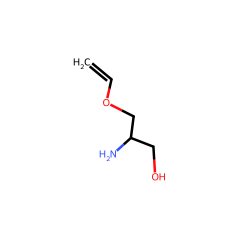 C=COCC(N)CO